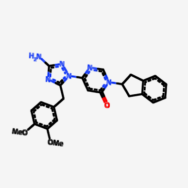 COc1ccc(Cc2nc(N)nn2-c2cc(=O)n(C3Cc4ccccc4C3)cn2)cc1OC